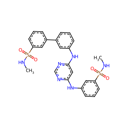 CNS(=O)(=O)c1cccc(Nc2cc(Nc3cccc(-c4cccc(S(=O)(=O)NC)c4)c3)ncn2)c1